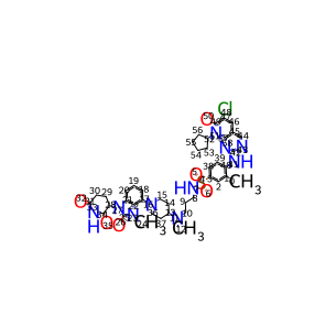 Cc1cc(S(=O)(=O)NCCCN(C)C2CCN(c3cccc4c3n(C)c(=O)n4C3CCC(=O)NC3=O)CC2)ccc1Nc1ncc2cc(Cl)c(=O)n(C3CCCC3)c2n1